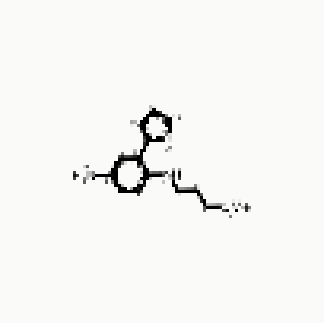 COCCCNc1ccc(N)cc1-c1ccco1